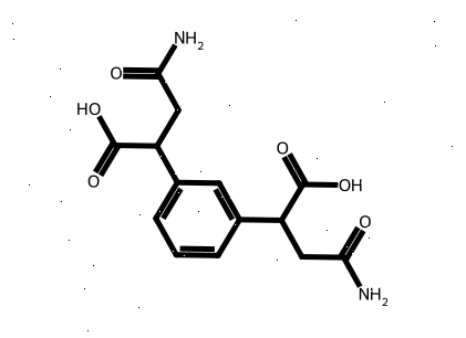 NC(=O)CC(C(=O)O)c1cccc(C(CC(N)=O)C(=O)O)c1